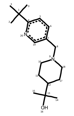 CC(C)(C)c1ccc(CN2CCC(C(C)(C)O)CC2)cn1